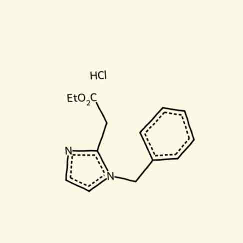 CCOC(=O)Cc1nccn1Cc1ccccc1.Cl